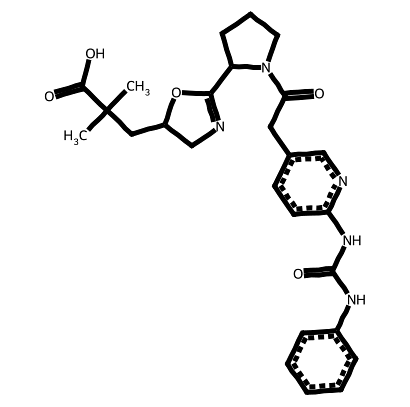 CC(C)(CC1CN=C(C2CCCN2C(=O)Cc2ccc(NC(=O)Nc3ccccc3)nc2)O1)C(=O)O